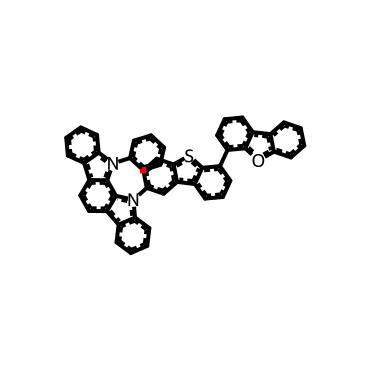 c1ccc(-n2c3ccccc3c3ccc4c5ccccc5n(-c5ccc6sc7c(-c8cccc9c8oc8ccccc89)cccc7c6c5)c4c32)cc1